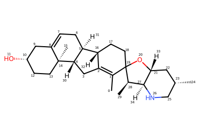 CC1=C2C[C@H]3[C@@H](CC=C4C[C@@H](O)CC[C@@]43C)[C@@H]2CCC12O[C@@H]1C[C@H](C)CN[C@H]1[C@H]2C